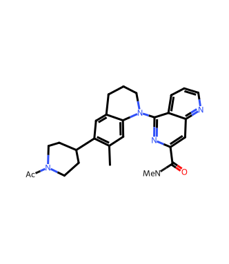 CNC(=O)c1cc2ncccc2c(N2CCCc3cc(C4CCN(C(C)=O)CC4)c(C)cc32)n1